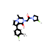 Cc1cn(CC(=O)N2CCC(F)C2)c(=O)c2c(-c3ccc(F)c(C(F)(F)F)c3)ccn12